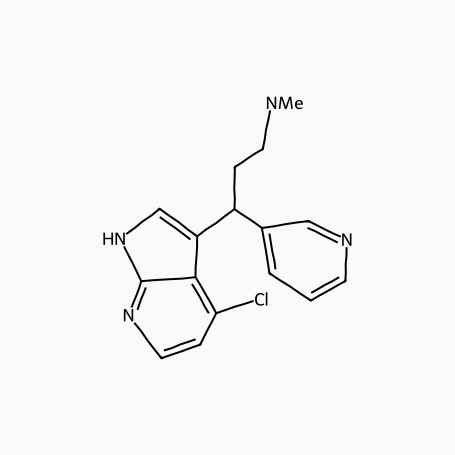 CNCCC(c1cccnc1)c1c[nH]c2nccc(Cl)c12